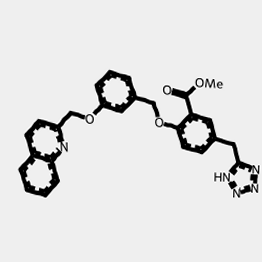 COC(=O)c1cc(Cc2nnn[nH]2)ccc1OCc1cccc(OCc2ccc3ccccc3n2)c1